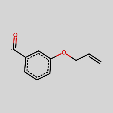 C=CCOc1cccc([C]=O)c1